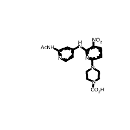 CC(=O)Nc1cc(Nc2nc(N3CCN(C(=O)O)CC3)ccc2[N+](=O)[O-])ccn1